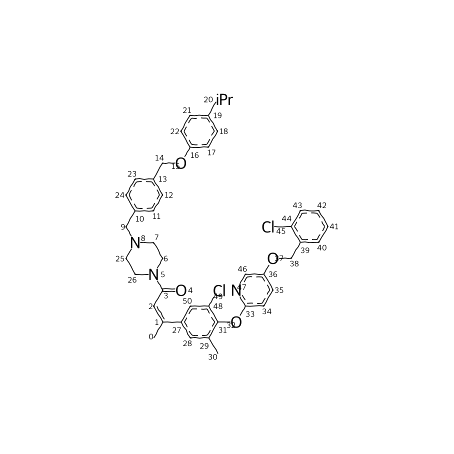 CC(=CC(=O)N1CCN(Cc2ccc(COc3ccc(C(C)C)cc3)cc2)CC1)c1cc(C)c(Oc2ccc(OCc3ccccc3Cl)cn2)c(Cl)c1